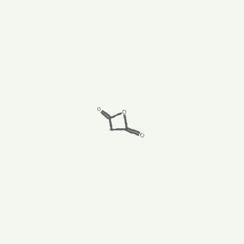 O=C1[C]C(=O)O1